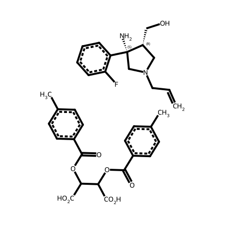 C=CCN1C[C@@H](CO)[C@](N)(c2ccccc2F)C1.Cc1ccc(C(=O)OC(C(=O)O)C(OC(=O)c2ccc(C)cc2)C(=O)O)cc1